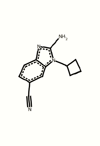 N#Cc1ccc2nc(N)n(C3CCC3)c2c1